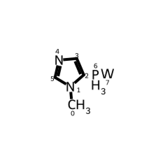 Cn1ccnc1.P.[W]